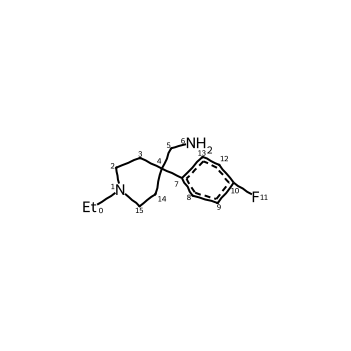 CCN1CCC(CN)(c2ccc(F)cc2)CC1